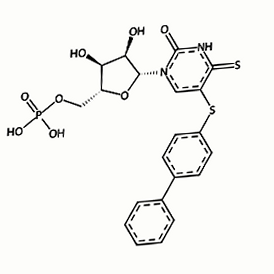 O=c1[nH]c(=S)c(Sc2ccc(-c3ccccc3)cc2)cn1[C@@H]1O[C@H](COP(=O)(O)O)[C@@H](O)[C@H]1O